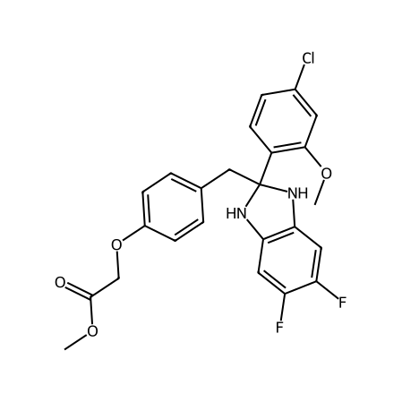 COC(=O)COc1ccc(CC2(c3ccc(Cl)cc3OC)Nc3cc(F)c(F)cc3N2)cc1